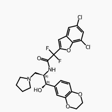 O=C(N[C@H](CN1CCCC1)[C@H](O)c1ccc2c(c1)OCCO2)C(F)(F)c1cc2cc(Cl)cc(Cl)c2o1